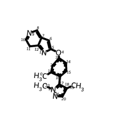 Cc1cc(OC2=CC3=CN=CCC3=N2)ccc1-c1c(C)cnn1C